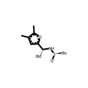 Cc1cc([C@H](N[S@+]([O-])C(C)(C)C)C(C)(C)C)oc1C